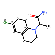 C[C@H](C(N)=O)N1CCCC2=C1CCC(Cl)=C2